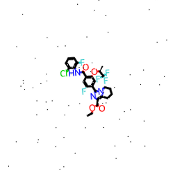 CCOC(=O)c1nc(-c2cc(O[C@@H](C)C(F)(F)F)c(C(=O)Nc3c(F)cccc3Cl)cc2F)n2c1CCCC2